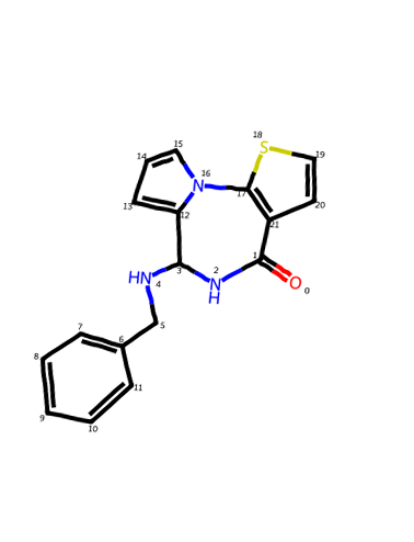 O=C1NC(NCc2ccccc2)c2cccn2-c2sccc21